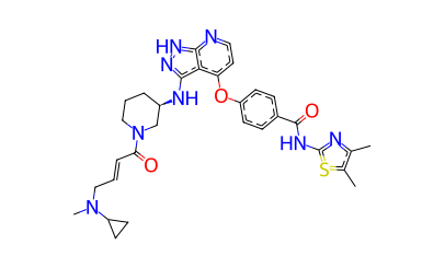 Cc1nc(NC(=O)c2ccc(Oc3ccnc4[nH]nc(N[C@@H]5CCCN(C(=O)/C=C/CN(C)C6CC6)C5)c34)cc2)sc1C